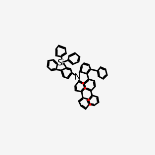 c1ccc(-c2ccc(-c3c(-c4ccccc4)cccc3N(c3ccc(-c4ccccc4)cc3)c3ccc4c(c3)[Si](c3ccccc3)(c3ccccc3)c3ccccc3-4)cc2)cc1